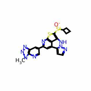 Cn1nnc2cc(-c3cc4c5c(n3)sc([S+]([O-])C3CCC3)c5[nH]n3nccc43)cnc21